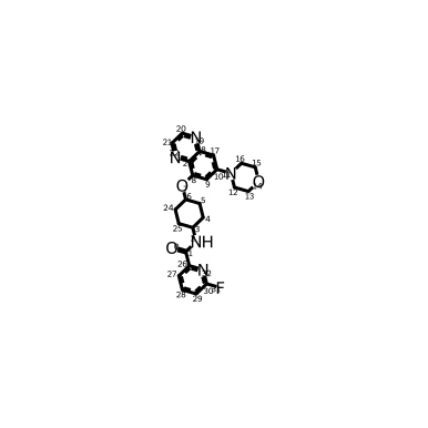 O=C(NC1CCC(Oc2cc(N3CCOCC3)cc3nccnc23)CC1)c1cccc(F)n1